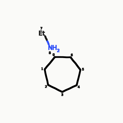 C1CCCCCC1.CCN